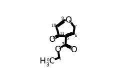 CCOC(=O)C1=CCOC=CC1=O